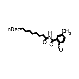 CCCCCCCCCCCCCCCCCC(=O)NC(=O)c1cc(C)ccc1I=O